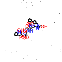 CCCCc1ncc(CO)n1Cc1ccc(-c2ccccc2S(=O)(=O)NC(=O)CCNC(=O)C[C@@H](NC(=O)C(Cc2ccccc2)C(=O)NO)C(=O)O)cc1